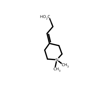 C[Si]1(C)CCC(=CCC(=O)O)CC1